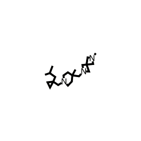 CC(C)CC1(CN2CCC(C)(CN3CC4(CN(C)C4)C3)CC2)CC1